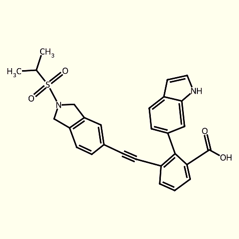 CC(C)S(=O)(=O)N1Cc2ccc(C#Cc3cccc(C(=O)O)c3-c3ccc4cc[nH]c4c3)cc2C1